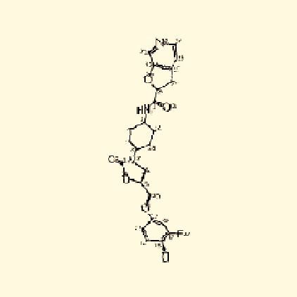 O=C(NC1CCC(N2CC(COc3ccc(Cl)c(F)c3)OC2=O)CC1)C1Cc2ccncc2O1